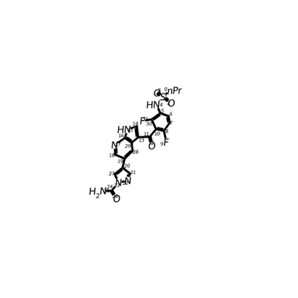 CCCS(=O)(=O)Nc1ccc(F)c(C(=O)c2c[nH]c3ncc(-c4cnn(C(N)=O)c4)cc23)c1F